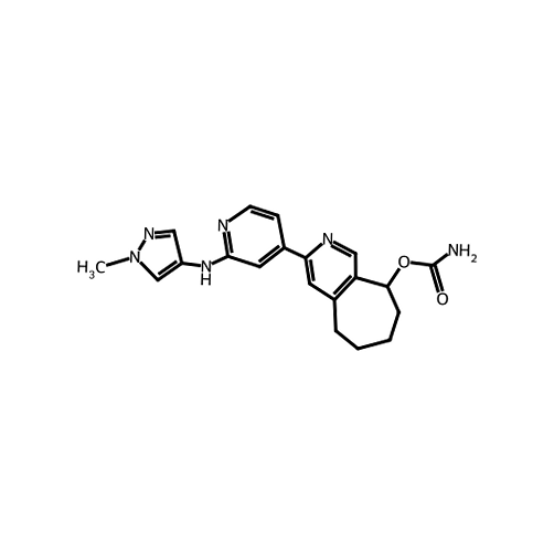 Cn1cc(Nc2cc(-c3cc4c(cn3)C(OC(N)=O)CCCC4)ccn2)cn1